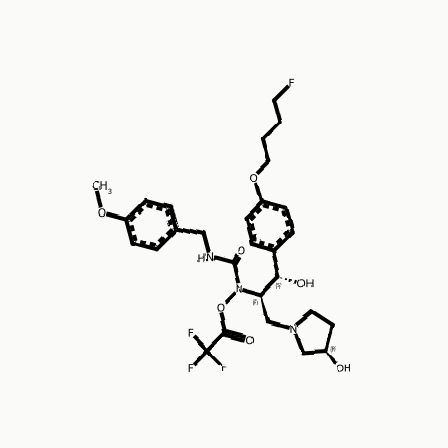 COc1ccc(CNC(=O)N(OC(=O)C(F)(F)F)[C@H](CN2CC[C@@H](O)C2)[C@@H](O)c2ccc(OCCCCF)cc2)cc1